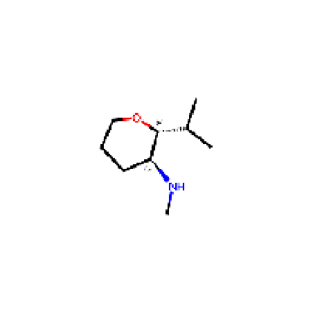 CN[C@H]1CCCO[C@@H]1C(C)C